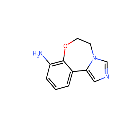 Nc1cccc2c1OCCn1cncc1-2